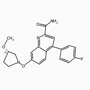 CO[C@H]1CCN(Oc2ccc3c(-c4ccc(F)cc4)cc(C(N)=O)nc3c2)C1